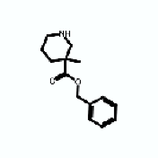 CC1(C(=O)OCc2ccccc2)CCCNC1